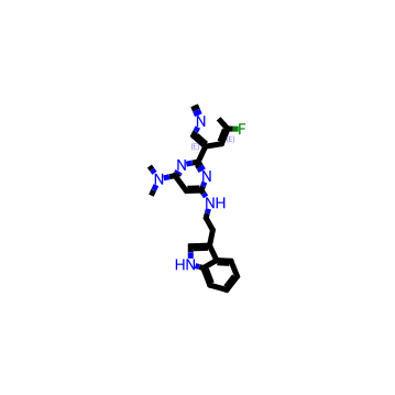 C=N/C=C(\C=C(/C)F)c1nc(NCCc2c[nH]c3ccccc23)cc(N(C)C)n1